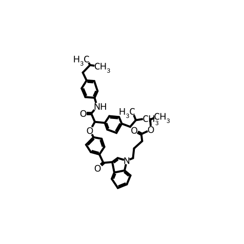 CCOC(=O)CCCn1cc(C(=O)c2ccc(OC(C(=O)Nc3ccc(CC(C)C)cc3)c3ccc(CC(C)C)cc3)cc2)c2ccccc21